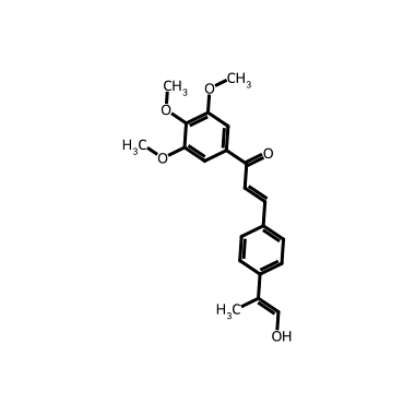 COc1cc(C(=O)C=Cc2ccc(C(C)=CO)cc2)cc(OC)c1OC